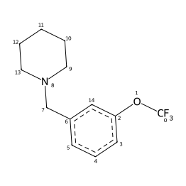 FC(F)(F)Oc1cccc(CN2CCCCC2)c1